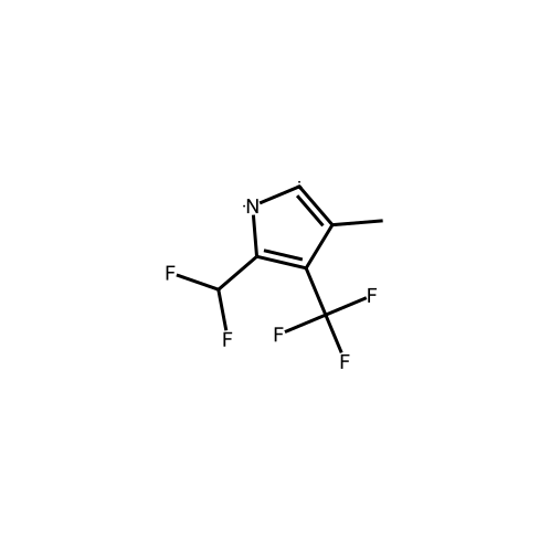 CC1=[C][N]C(C(F)F)=C1C(F)(F)F